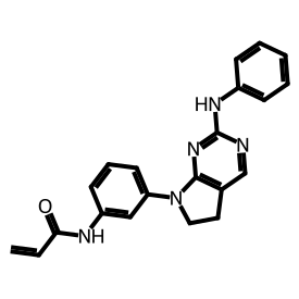 C=CC(=O)Nc1cccc(N2CCc3cnc(Nc4ccccc4)nc32)c1